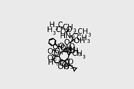 CC(=O)O[C@@]12CO[C@@H]1C[C@H](O)[C@@]1(C)C(=O)[C@H](OC(=O)C3CC3)C3=C(C)[C@@H](OC(=O)[C@H](O)[C@H](CC(C)C)NC(=O)OC(C)(C)C)C[C@@](O)([C@@H](OC(=O)c4ccccc4)C12)C3(C)C